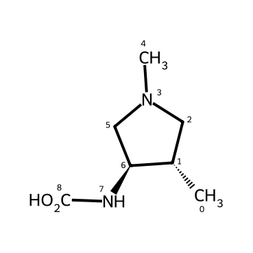 C[C@H]1CN(C)C[C@@H]1NC(=O)O